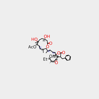 CC[C@H](OC)[C@@H](C)[C@H]1O[C@@H]1C1C(Cc2ccccc2)C(=O)OC1(C)/C=C/C=C(\C)C1OC(=O)C[C@H](O)CC[C@@](C)(O)[C@@H](OC(C)=O)/C=C/[C@@H]1C